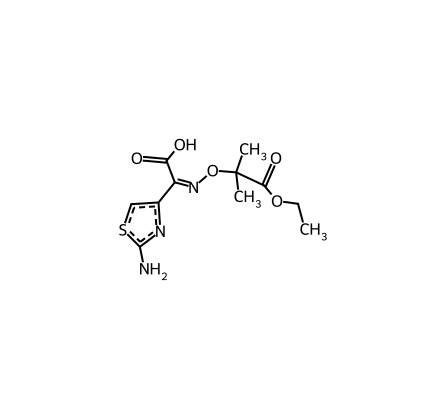 CCOC(=O)C(C)(C)O/N=C(\C(=O)O)c1csc(N)n1